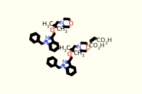 CC(C)(CN1CCOCC1)OCc1nn(Cc2ccccc2)c2ccccc12.CC(C)(CN1CCOCC1)OCc1nn(Cc2ccccc2)c2ccccc12.O=C(O)/C=C\C(=O)O